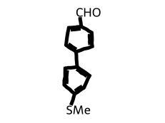 CSc1ccc(-c2ccc(C=O)cc2)cc1